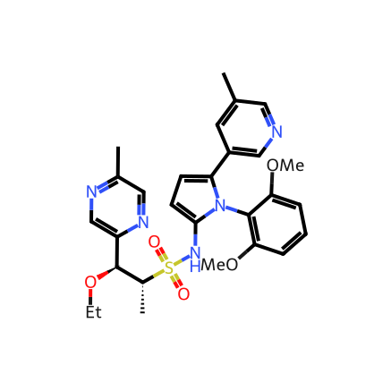 CCO[C@@H](c1cnc(C)cn1)[C@@H](C)S(=O)(=O)Nc1ccc(-c2cncc(C)c2)n1-c1c(OC)cccc1OC